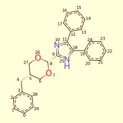 c1ccc(C[C@H]2CO[C@@H](c3nc(-c4ccccc4)c(-c4ccccc4)[nH]3)OC2)cc1